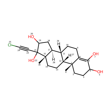 C[C@]12CCC(O)C(O)=C1CC[C@@H]1[C@H]2CC[C@@]2(C)[C@H]1CC(O)C2(O)C#CCl